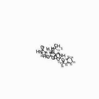 CC(C)C[C@H](NC(=O)OC1(Cc2ccccc2)CC1)C(=O)N[C@@H](C[C@@H]1CCNC1=O)C(=O)O